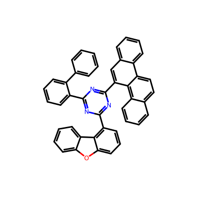 c1ccc(-c2ccccc2-c2nc(-c3cccc4oc5ccccc5c34)nc(-c3cc4ccccc4c4ccc5ccccc5c34)n2)cc1